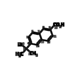 CCC(C)(C)c1ccc2cc(C(=O)O)ccc2c1